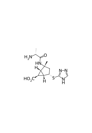 C[C@@H](N)C(=O)N[C@]1(C)C[C@H](Sc2nnc[nH]2)[C@@H]2[C@@H](C(=O)O)[C@@H]21